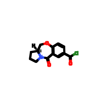 O=C(Cl)c1ccc2c(c1)C(=O)N1CCC[C@H]1CO2